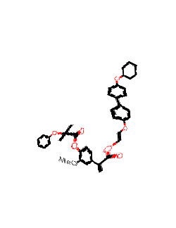 C=C(C(=O)OCCOc1ccc(-c2ccc(OC3CCCCC3)cc2)cc1)c1ccc(OC(=O)C(C)(C)Oc2ccccc2)c(OC)c1